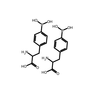 NC(Cc1ccc(B(O)O)cc1)C(=O)O.NC(Cc1ccc(B(O)O)cc1)C(=O)O